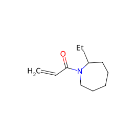 C=CC(=O)N1CCCCCC1CC